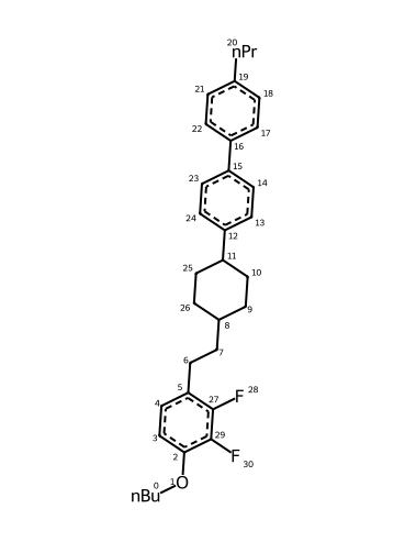 CCCCOc1ccc(CCC2CCC(c3ccc(-c4ccc(CCC)cc4)cc3)CC2)c(F)c1F